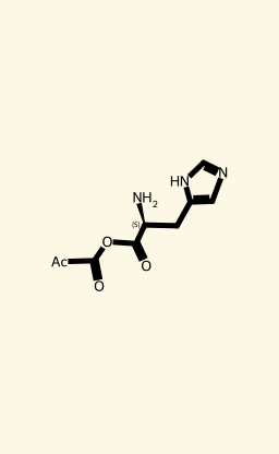 CC(=O)C(=O)OC(=O)[C@@H](N)Cc1cnc[nH]1